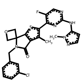 Cc1c(-c2nc(Nc3ccnn3C)ncc2F)sc2c1C(=O)N(Cc1cccc(Cl)c1)C21COC1